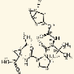 CC[C@@H]1C[C@]1(NC(=O)[C@@H]1CCCN1C(=O)[C@@H](NC(=O)OC1CC2C[C@H]2C1)C(C)(C)C)C(=O)O